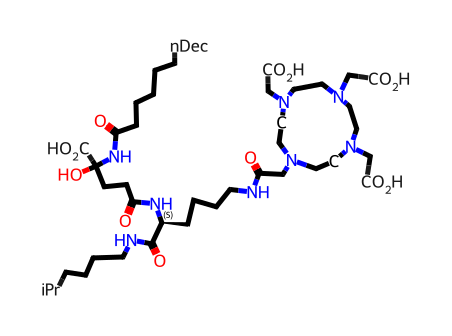 CCCCCCCCCCCCCCCC(=O)NC(O)(CCC(=O)N[C@@H](CCCCNC(=O)CN1CCN(CC(=O)O)CCN(CC(=O)O)CCN(CC(=O)O)CC1)C(=O)NCCCCC(C)C)C(=O)O